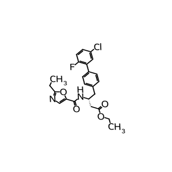 CCOC(=O)C[C@@H](Cc1ccc(-c2cc(Cl)ccc2F)cc1)NC(=O)c1cnc(CC)o1